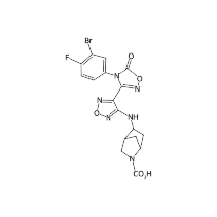 O=C(O)N1CC2CC1CC2Nc1nonc1-c1noc(=O)n1-c1ccc(F)c(Br)c1